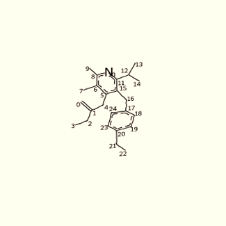 C=C(CC)Cc1c(C)c(C)nc(C(C)C)c1Cc1ccc(CC)cc1